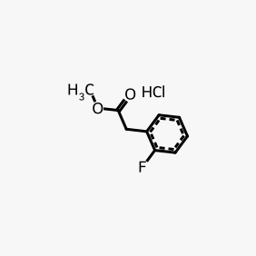 COC(=O)Cc1ccccc1F.Cl